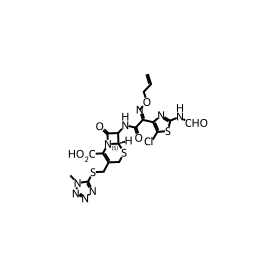 C=CCON=C(C(=O)NC1C(=O)N2C(C(=O)O)=C(CSc3nnnn3C)CS[C@@H]12)c1nc(NC=O)sc1Cl